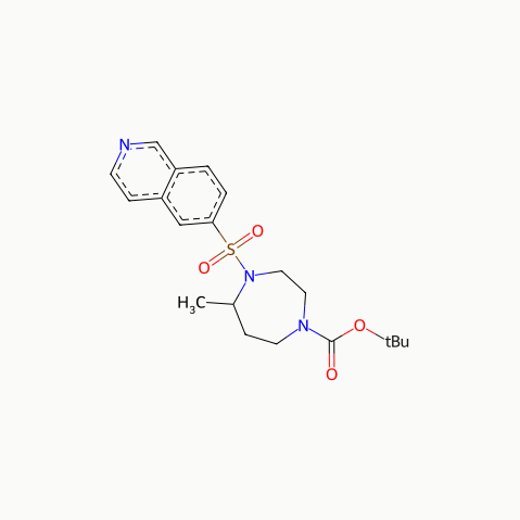 CC1CCN(C(=O)OC(C)(C)C)CCN1S(=O)(=O)c1ccc2cnccc2c1